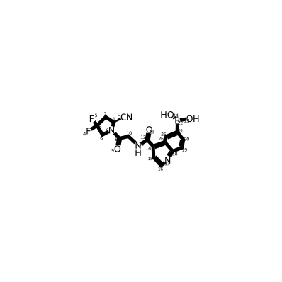 N#C[C@@H]1CC(F)(F)CN1C(=O)CNC(=O)c1ccnc2ccc(B(O)O)cc12